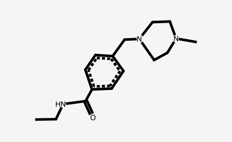 CCNC(=O)c1ccc(CN2CCN(C)CC2)cc1